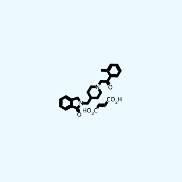 Cc1ccccc1C(=O)CN1CCC(CN2Cc3ccccc3C2=O)CC1.O=C(O)C=CC(=O)O